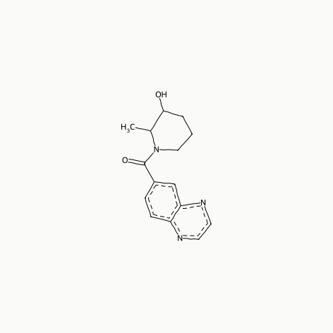 CC1C(O)CCCN1C(=O)c1ccc2nccnc2c1